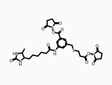 CC1NC(=O)NC1CCCCCC(=O)Nc1cc(CSCCC(=O)ON2C(=O)CCC2=O)cc(C(=O)ON2C(=O)CCC2=O)c1